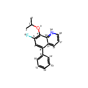 CC(C)Oc1c(F)cc(-c2ccccc2)c2cccnc12